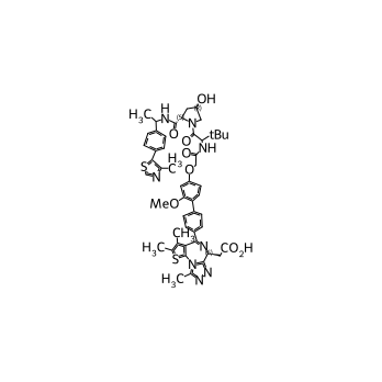 COc1cc(OCC(=O)NC(C(=O)N2C[C@H](O)C[C@H]2C(=O)NC(C)c2ccc(-c3scnc3C)cc2)C(C)(C)C)ccc1-c1ccc(C2=N[C@@H](CC(=O)O)c3nnc(C)n3-c3sc(C)c(C)c32)cc1